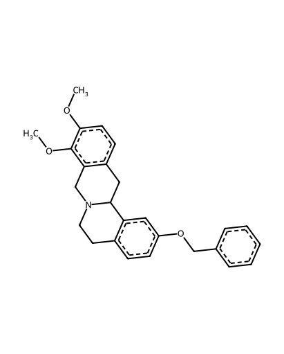 COc1ccc2c(c1OC)CN1CCc3ccc(OCc4ccccc4)cc3C1C2